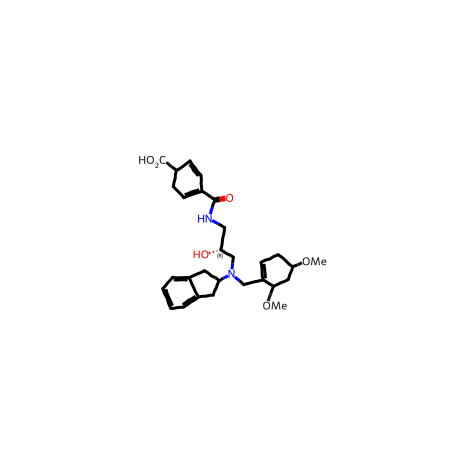 COC1CC=C(CN(C[C@H](O)CNC(=O)C2=CCC(C(=O)O)C=C2)C2Cc3ccccc3C2)C(OC)C1